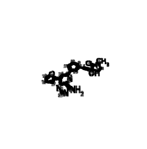 CN1CCC(O)(C#Cc2cccc(-c3cc(-c4ccco4)c4ncnc(N)c4n3)c2)C1=O